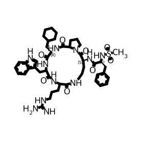 CS(=O)(=O)N[C@@H](Cc1ccccc1)C(=O)N[C@H]1CCCNC(=O)C(CCCNC(=N)N)NC(=O)C(Cc2c[nH]c3ccccc23)NC(=O)[C@@H](CC2CCCCC2)NC(=O)C2CCCN2C1=O